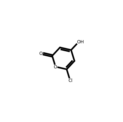 O=c1cc(O)cc(Cl)o1